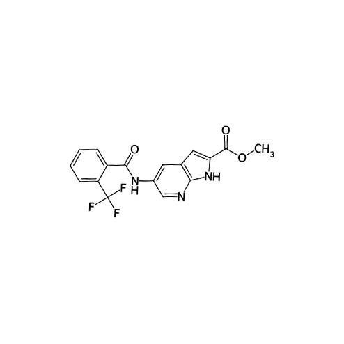 COC(=O)c1cc2cc(NC(=O)c3ccccc3C(F)(F)F)cnc2[nH]1